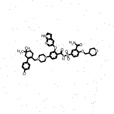 CC1(C)CCC(CN2CCN(c3ccc(C(=O)NS(=O)(=O)c4ccc(OCC5CCOCC5)c(C(N)=O)c4)c(Oc4cnc5[nH]ccc5c4)c3)CC2)=C(c2ccc(Cl)cc2)C1